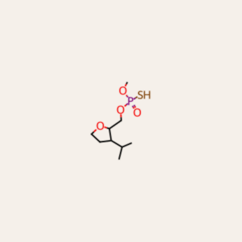 COP(=O)(S)OCC1OCCC1C(C)C